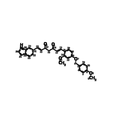 COc1ccc(COc2ccc(C=CC(=O)CC(=O)C=Cc3ccc4cc[nH]c4c3)c(OC)c2)cc1